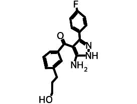 Nc1[nH]nc(-c2ccc(F)cc2)c1C(=O)c1cccc(CCCO)c1